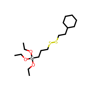 CCO[Si](CCCSSCCC1CCCCC1)(OCC)OCC